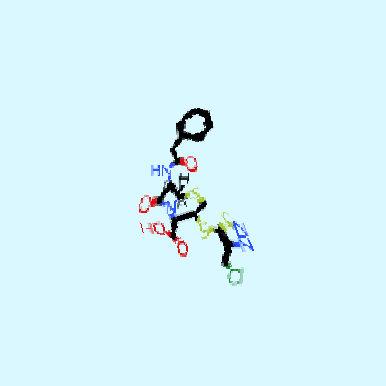 O=C(Cc1ccccc1)N[C@@H]1C(=O)N2C(C(=O)O)=C(Sc3snnc3CCl)CS[C@@H]12